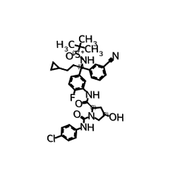 CC(C)(C)[S@@+]([O-])N[C@](CCC1CC1)(c1cccc(C#N)c1)c1ccc(F)c(NC(=O)[C@H]2C[C@@H](O)CN2C(=O)Nc2ccc(Cl)cc2)c1